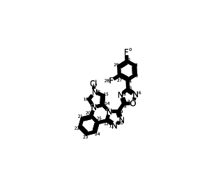 Fc1ccc(-c2noc(-c3nnc4n3C3=CN(Cl)CN3c3ccccc3-4)n2)c(F)c1